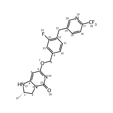 C[C@H]1Cn2c(cc(OCc3ccc(Cc4ccc(C(F)(F)F)nc4)c(F)c3)nc2=O)N1